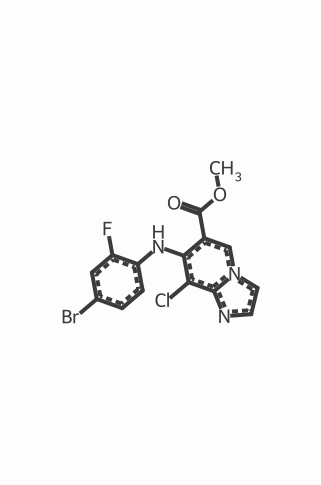 COC(=O)c1cn2ccnc2c(Cl)c1Nc1ccc(Br)cc1F